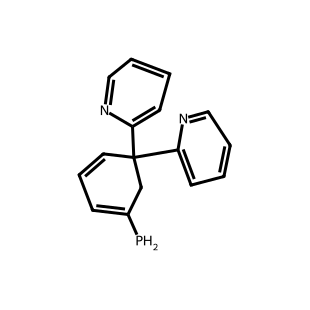 PC1=CC=CC(c2ccccn2)(c2ccccn2)C1